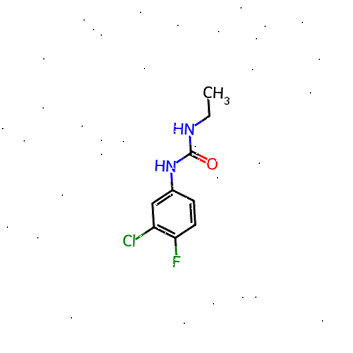 CCNC(=O)Nc1ccc(F)c(Cl)c1